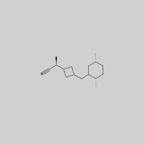 C[C@@H]1CC[C@H](C)C(CC2CC([C@H](C)C#N)C2)C1